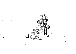 CNCc1ccc(Cl)cc1-c1ccc(C(C)c2cc(=O)n(-c3ccccc3F)nc2C(N)=O)s1